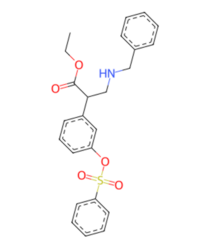 CCOC(=O)C(CNCc1ccccc1)c1cccc(OS(=O)(=O)c2ccccc2)c1